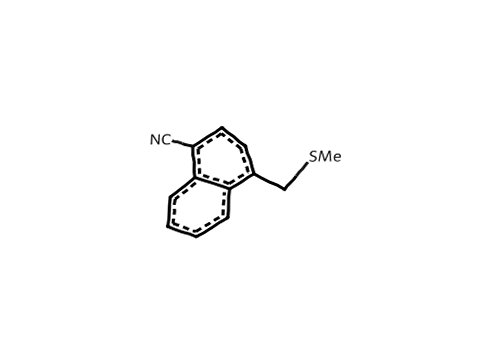 CSCc1ccc(C#N)c2ccccc12